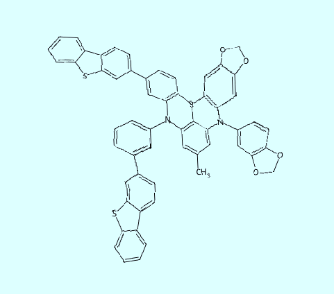 Cc1cc2c3c(c1)N(c1ccc4c(c1)OCO4)c1cc4c(cc1B3c1ccc(-c3ccc5c(c3)sc3ccccc35)cc1N2c1cccc(-c2ccc3c(c2)sc2ccccc23)c1)OCO4